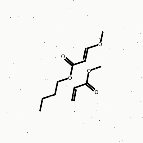 C=CC(=O)OC.CCCCOC(=O)C=COC